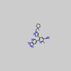 Cc1nc(-c2cnc3c(c2)ncn3C)c(-c2cnn(CC3(C)CCCC3)c2)cc1C#N